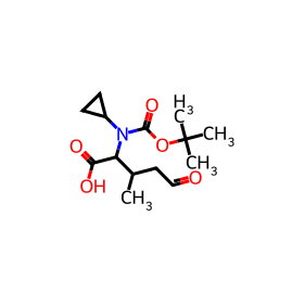 CC(CC=O)C(C(=O)O)N(C(=O)OC(C)(C)C)C1CC1